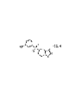 O=C(O)Oc1noc2c1CN(S(=O)(=O)c1cccc(Cl)c1)CC2